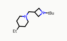 CCC1CCN(CC2CN(C(C)(C)C)C2)CC1